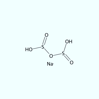 O=S(O)OS(=O)O.[Na]